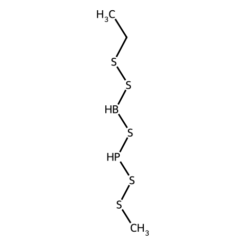 CCSSBSPSSC